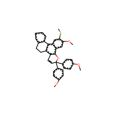 COc1ccc(C2(c3ccc(OC)cc3)C=Cc3c4c(c5cc(SC)c(OC)cc5c3O2)-c2ccccc2CC4)cc1